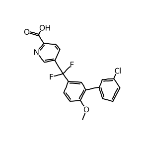 COc1ccc(C(F)(F)c2ccc(C(=O)O)nc2)cc1-c1cccc(Cl)c1